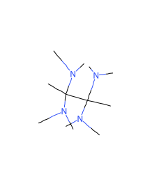 CN(C)C(C)(N(C)C)C(C)(N(C)C)N(C)C